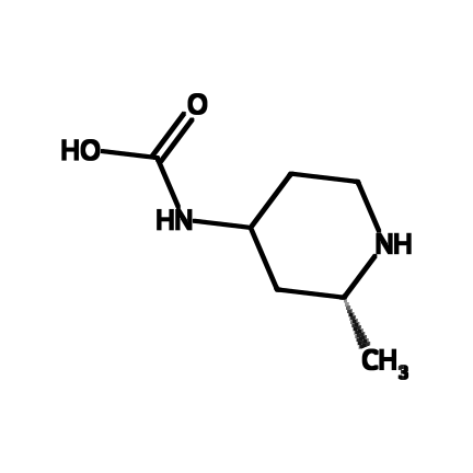 C[C@@H]1CC(NC(=O)O)CCN1